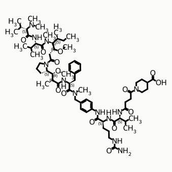 CC[C@H](C)[C@@H]([C@@H](CC(=O)N1CCC[C@H]1[C@H](OC)[C@@H](C)C(=O)N[C@@H](Cc1ccccc1)C(=O)N(C)Cc1ccc(NC(=O)[C@H](CCCNC(N)=O)NC(=O)[C@@H](NC(=O)CCC(=O)N2CCC(C(=O)O)CC2)C(C)C)cc1)OC)N(C)C(=O)[C@@H](NC(=O)[C@H](C(C)C)N(C)C)C(C)C